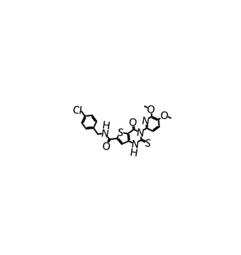 COc1ccc(-n2c(=S)[nH]c3cc(C(=O)NCc4ccc(Cl)cc4)sc3c2=O)nc1OC